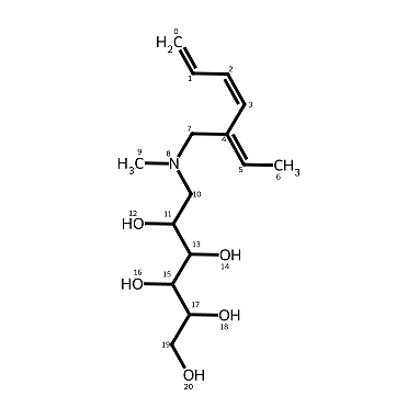 C=C/C=C\C(=C/C)CN(C)CC(O)C(O)C(O)C(O)CO